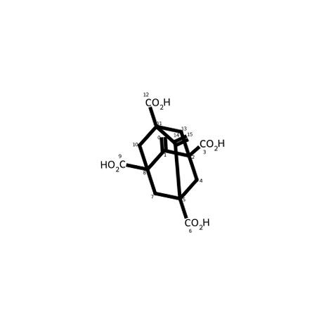 C=C1C2(C(=O)O)CC3(C(=O)O)CC1(C(=O)O)CC(C(=O)O)(C2)C3=C